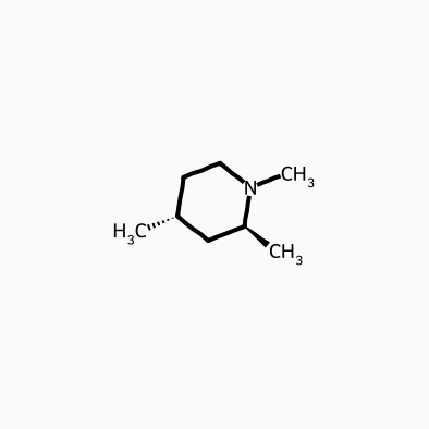 C[C@@H]1CCN(C)[C@@H](C)C1